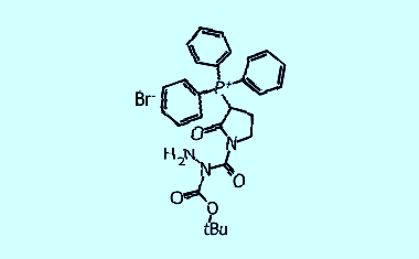 CC(C)(C)OC(=O)N(N)C(=O)N1CCC([P+](c2ccccc2)(c2ccccc2)c2ccccc2)C1=O.[Br-]